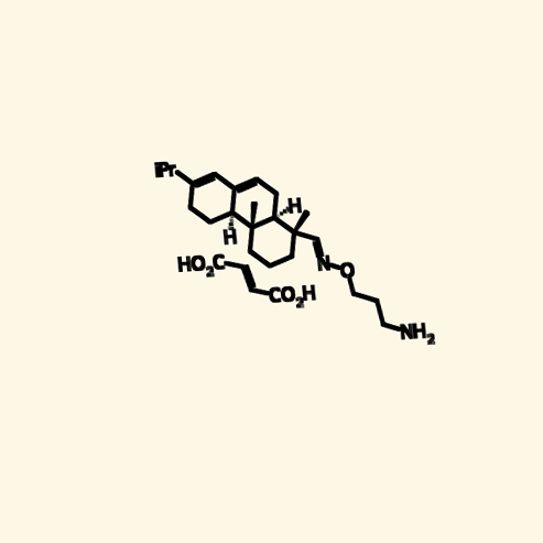 CC(C)C1=CC2=CC[C@@H]3[C@](C)(CCC[C@@]3(C)/C=N/OCCCN)[C@H]2CC1.O=C(O)/C=C/C(=O)O